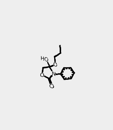 CCCOC1(O)COC(=O)N1c1ccccc1